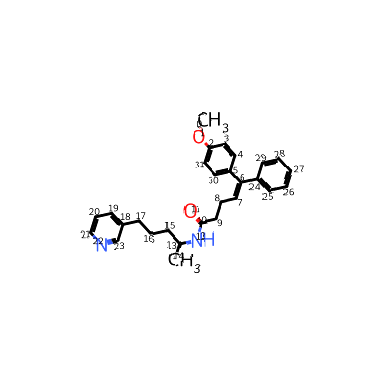 COc1ccc(/C(=C\CCC(=O)NC(C)CCCc2cccnc2)c2ccccc2)cc1